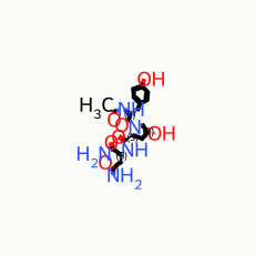 CC(=O)N[C@H](Cc1ccc(O)cc1)C(=O)N1C[C@H](O)C[C@H]1C(=O)N[C@@H](CC(N)=O)C(N)=O